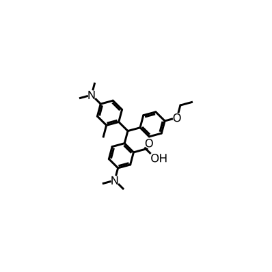 CCOc1ccc(C(c2ccc(N(C)C)cc2C)c2ccc(N(C)C)cc2C(=O)O)cc1